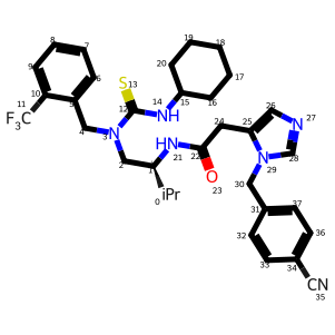 CC(C)[C@@H](CN(Cc1ccccc1C(F)(F)F)C(=S)NC1CCCCC1)NC(=O)Cc1cncn1Cc1ccc(C#N)cc1